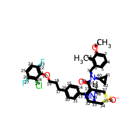 COc1cccc(CN(C(=O)C2=C(c3ccc(CCCOc4c(F)ccc(F)c4Cl)cc3)CC3C[S+]([O-])C[C@H]2N3)C2CC2)c1C